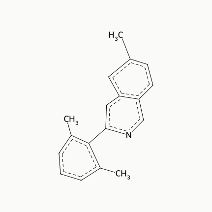 Cc1ccc2cnc(-c3c(C)cccc3C)cc2c1